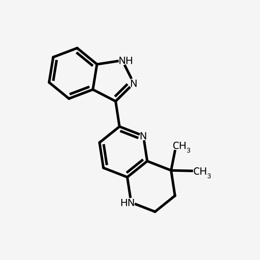 CC1(C)CCNc2ccc(-c3n[nH]c4ccccc34)nc21